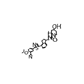 CC(C)OC1CC=C(c2ncc(-c3cccc4c3CCC4CNC(=O)N3CCC(O)CC3)s2)C=C1C#N